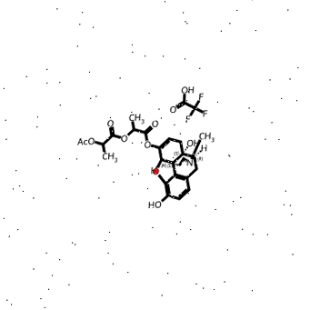 CC(=O)OC(C)C(=O)OC(C)C(=O)OC1=CC[C@@]2(O)[C@H]3Cc4ccc(O)c5c4[C@@]2(CCN3C)[C@H]1O5.O=C(O)C(F)(F)F